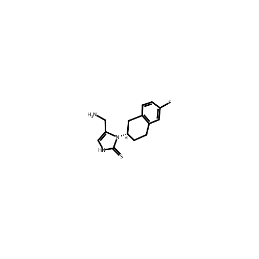 NCc1c[nH]c(=S)n1[C@H]1CCc2cc(F)ccc2C1